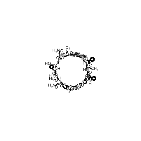 C=CC[C@@H]1NC(=O)[C@H](Cc2c[nH]c3ccccc23)NC(=O)C2CCCN2C(=O)[C@H](CC(C)C)NC(=O)[C@H](CN)NC(=O)[C@@H]2CCCN2C(=O)[C@H](CCC(N)=O)NC(=O)[C@H](C)N(C)C(=O)[C@H](Cc2ccc(O)cc2)NC(=O)CSC[C@@H](C(=O)NCC(N)=O)NC(=O)[C@H](CC=C)NC(=O)[C@H](CCCC)N(C)C(=O)[C@H](CCCC)N(C)C(=O)[C@H](Cc2c[nH]c3ccccc23)NC1=O